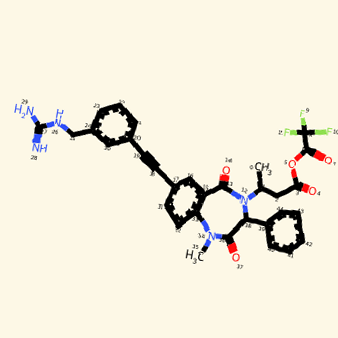 CC(CC(=O)OC(=O)C(F)(F)F)N1C(=O)c2cc(C#Cc3cccc(CNC(=N)N)c3)ccc2N(C)C(=O)C1c1ccccc1